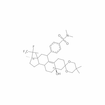 CN(C)S(=O)(=O)c1ccc(C2CC3(C)C(CC[C@@]3(C)C(C)(F)C(F)(F)F)C3CC[C@@]4(O)CC5(CCC4=C23)OCC(C)(C)CO5)cc1